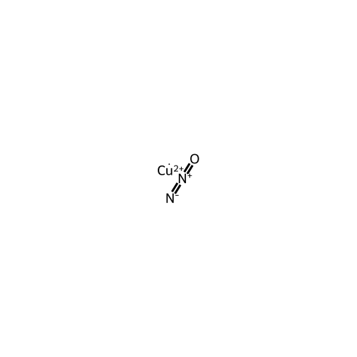 [Cu+2].[N-]=[N+]=O